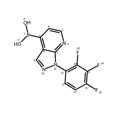 OB(O)c1ccnc2c1cnn2-c1ccc(F)c(F)c1F